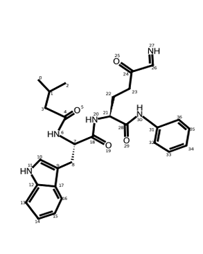 CC(C)CC(=O)N[C@@H](Cc1c[nH]c2ccccc12)C(=O)N[C@@H](CCC(=O)C=N)C(=O)Nc1ccccc1